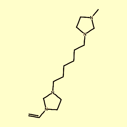 C=CN1CCN(CCCCCCN2CCN(C)C2)C1